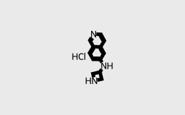 Cl.c1cc2cc(NC3CNC3)ccc2cn1